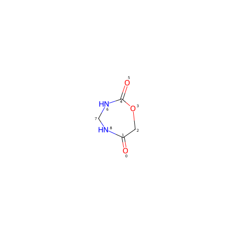 O=C1COC(=O)NCN1